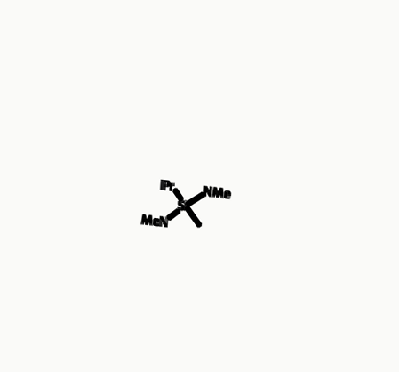 CN[Si](C)(NC)C(C)C